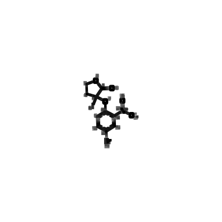 O=C1OCCC1(I)Oc1ccc(Br)cc1[N+](=O)[O-]